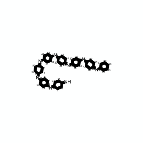 N=C1C=CC(=Nc2ccc(N=C3C=CC(=Nc4ccc(N=C5C=CC(=Nc6ccc(N=C7C=CC(=Nc8ccccc8)C=C7)cc6)C=C5)cc4)C=C3)cc2)C=C1